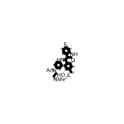 CNCCN(C(C)=O)c1ccc(NC(=C2C(=O)Nc3cc(F)ccc32)c2ccc(CC(=O)O)cc2)cc1